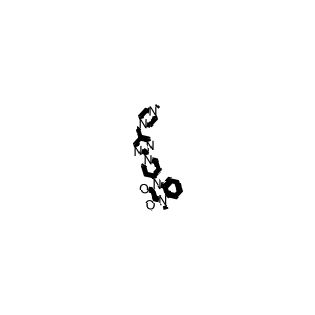 CN1CCN(Cc2cnc(N3CCC(n4c(=O)c(=O)n(C)c5ccccc54)CC3)nc2)CC1